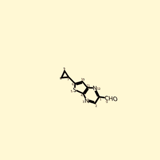 O=Cc1cnc2sc(C3CC3)cc2n1